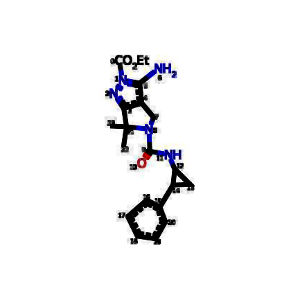 CCOC(=O)n1nc2c(c1N)CN(C(=O)NC1CC1c1ccccc1)C2(C)C